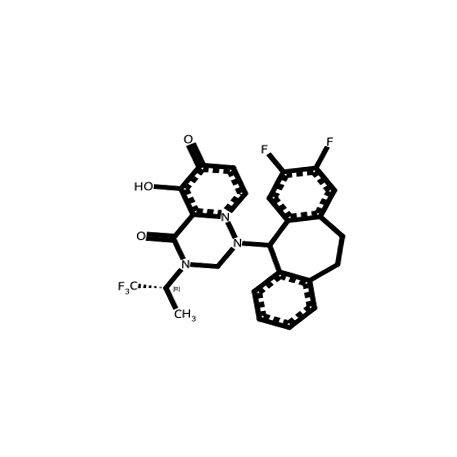 C[C@@H](N1CN(C2c3ccccc3CCc3cc(F)c(F)cc32)n2ccc(=O)c(O)c2C1=O)C(F)(F)F